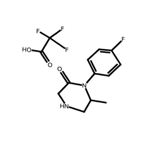 CC1CNCC(=O)N1c1ccc(F)cc1.O=C(O)C(F)(F)F